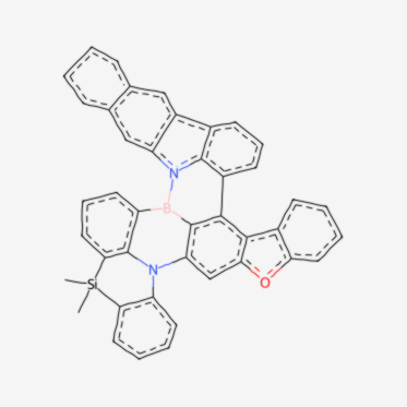 C[Si]1(C)c2ccccc2N2c3cc4oc5ccccc5c4c4c3B(c3cccc1c32)n1c2cc3ccccc3cc2c2cccc-4c21